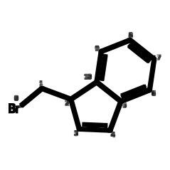 BrCC1C=Cc2c[c]ccc21